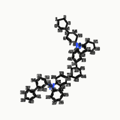 C1=CCCC(C2C=CC(n3c4c(c5cc(C6C=C(C7=CCC8C(=C7)c7ccccc7N8c7cccc(-c8ccccc8)c7)C=CC6)ccc53)CCCC4)CC2)=C1